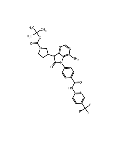 CC(C)(C)OC(=O)N1CCC(n2c(=O)n(-c3ccc(C(=O)Nc4ccc(C(F)(F)F)cn4)cc3)c3c(N)ncnc32)C1